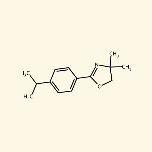 CC(C)c1ccc(C2=NC(C)(C)CO2)cc1